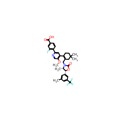 COc1cnc(-c2ccc(C(=O)O)cc2F)cc1C1=C(CN2C(=O)O[C@H](c3cc(C)cc(C(F)(F)F)c3)[C@@H]2C)CC(C)(C)CC1